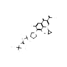 COc1c(N2CC[C@H](C(C)(C)NC(=O)OC(C)(C)C)C2)c(F)cc2c(=O)c(C(=O)O)cn(C3CC3)c12